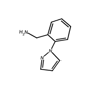 NCc1ccccc1-n1[c]ccn1